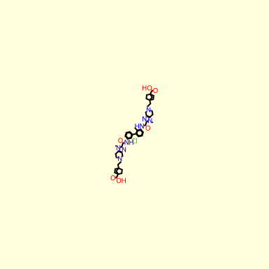 Cc1c(NC(=O)c2nc3c(n2C)CCN(CCC24CCC(C(=O)O)(CC2)C4)C3)cccc1-c1cccc(NC(=O)c2nc3c(n2C)CCN(CCC24CCC(C(=O)O)(CC2)C4)C3)c1Cl